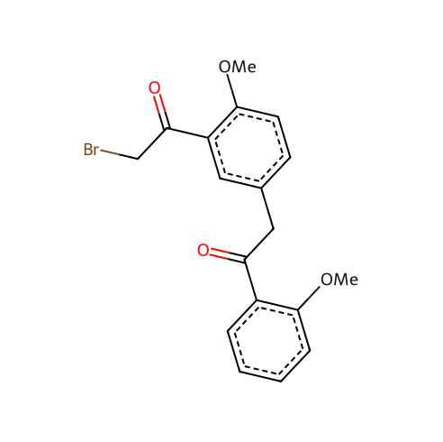 COc1ccc(CC(=O)c2ccccc2OC)cc1C(=O)CBr